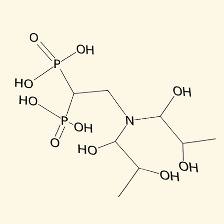 CC(O)C(O)N(CC(P(=O)(O)O)P(=O)(O)O)C(O)C(C)O